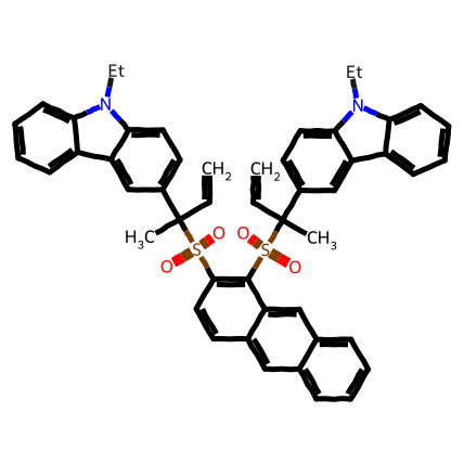 C=CC(C)(c1ccc2c(c1)c1ccccc1n2CC)S(=O)(=O)c1ccc2cc3ccccc3cc2c1S(=O)(=O)C(C)(C=C)c1ccc2c(c1)c1ccccc1n2CC